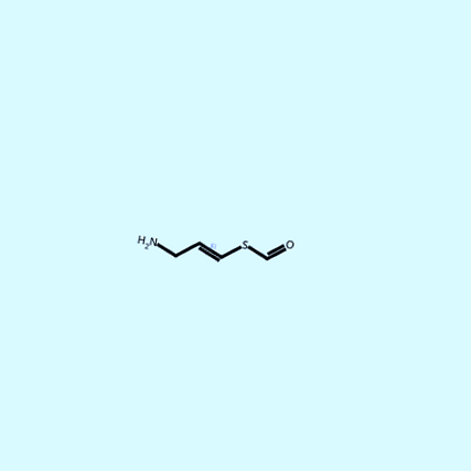 NC/C=C/SC=O